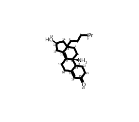 CC(C)CCCC12CC[C@@]3(N)C(=C1C[C@@H](O)C2)CCC1=CC(=O)CCC13